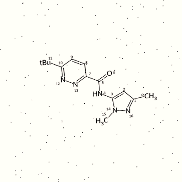 Cc1cc(NC(=O)c2ccc(C(C)(C)C)nn2)n(C)n1